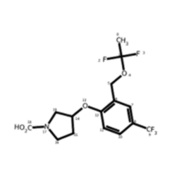 CC(F)(F)OCc1cc(C(F)(F)F)ccc1OC1CCN(C(=O)O)C1